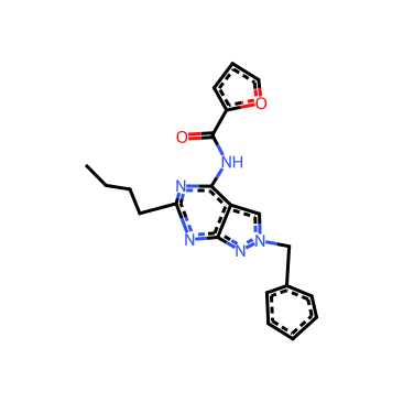 CCCCc1nc(NC(=O)c2ccco2)c2cn(Cc3ccccc3)nc2n1